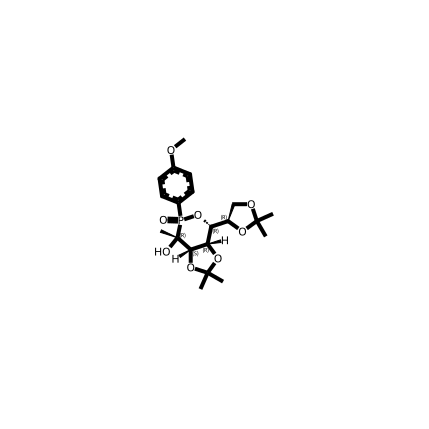 COc1ccc(P2(=O)O[C@H]([C@H]3COC(C)(C)O3)[C@@H]3OC(C)(C)O[C@@H]3[C@]2(C)O)cc1